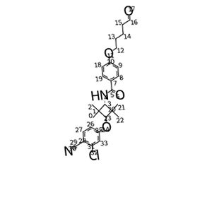 CC1(C)[C@H](NC(=O)c2ccc(OCCCCC=O)cc2)C(C)(C)[C@H]1Oc1ccc(C#N)c(Cl)c1